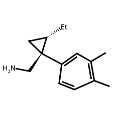 CC[C@H]1C[C@@]1(CN)c1ccc(C)c(C)c1